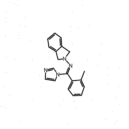 Cc1ccccc1C(=NN1Cc2ccccc2C1)n1ccnc1